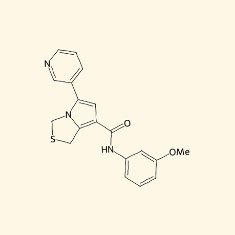 COc1cccc(NC(=O)c2cc(-c3cccnc3)n3c2CSC3)c1